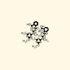 COc1nc(C)nc(N(C)C(=O)NS(=O)(=O)C2(C)C=CC=CC2C(=O)O)n1.COc1nc(C)nc(N(C)C(=O)NS(=O)(=O)c2ccccc2C(=O)O)n1